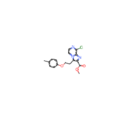 COC(=O)c1nc2c(Cl)nccn2c1CCOc1ccc(C)cc1